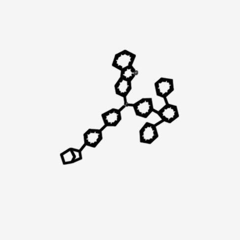 c1ccc(-c2cccc(-c3ccccc3)c2-c2ccc(N(c3ccc(-c4ccc(C5CC6CCC5C6)cc4)cc3)c3ccc4c(c3)oc3ccccc34)cc2)cc1